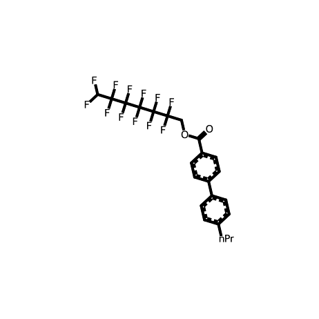 CCCc1ccc(-c2ccc(C(=O)OCC(F)(F)C(F)(F)C(F)(F)C(F)(F)C(F)(F)C(F)F)cc2)cc1